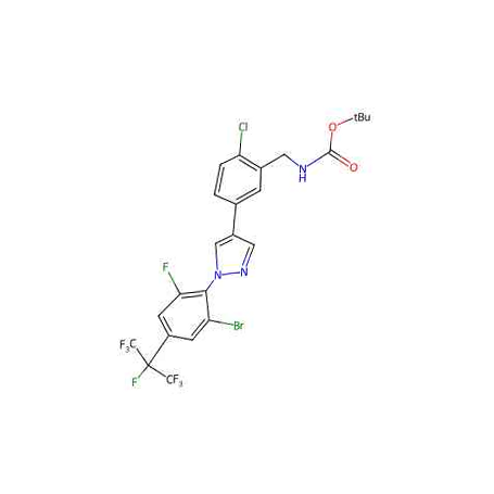 CC(C)(C)OC(=O)NCc1cc(-c2cnn(-c3c(F)cc(C(F)(C(F)(F)F)C(F)(F)F)cc3Br)c2)ccc1Cl